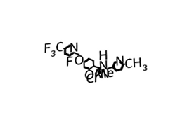 COC1=CC(OCc2ncc(C(F)(F)F)cc2F)=CCC1c1[nH]c(-c2ccc(C)nc2)nc1Cl